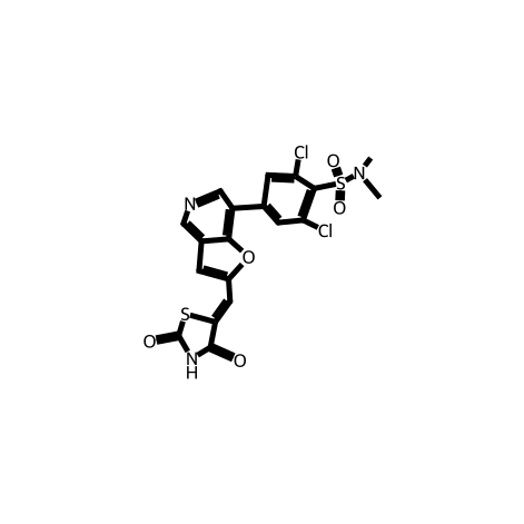 CN(C)S(=O)(=O)c1c(Cl)cc(-c2cncc3cc(/C=C4\SC(=O)NC4=O)oc23)cc1Cl